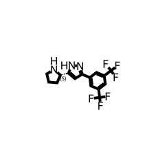 FC(F)(F)c1cc(-c2cc([C@@H]3CCCN3)[nH]n2)cc(C(F)(F)F)c1